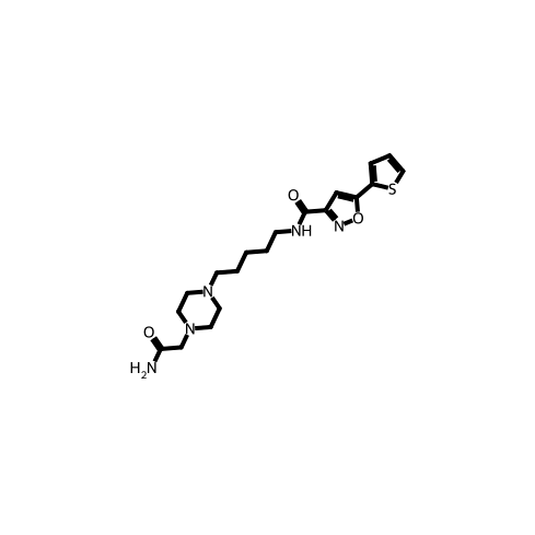 NC(=O)CN1CCN(CCCCCNC(=O)c2cc(-c3cccs3)on2)CC1